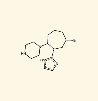 BrC1CCCC(N2CCNCC2)C(c2ncc[nH]2)C1